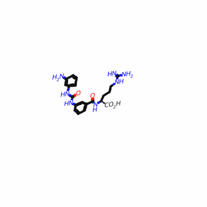 N=C(N)NCCC[C@H](NC(=O)c1cccc(NC(=O)Nc2cccc(N)c2)c1)C(=O)O